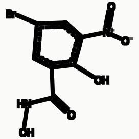 O=C(NO)c1cc(Br)cc([N+](=O)[O-])c1O